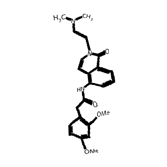 COc1ccc(CC(=O)Nc2cccc3c(=O)n(CCN(C)C)ccc23)c(OC)c1